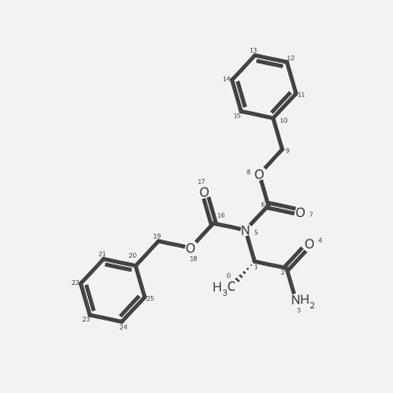 C[C@@H](C(N)=O)N(C(=O)OCc1ccccc1)C(=O)OCc1ccccc1